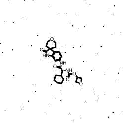 O=C(N[C@H](C(=O)Nc1ccc2c(c1)NC(=O)C21CCOCC1)C1CCCCC1)OC1COC1